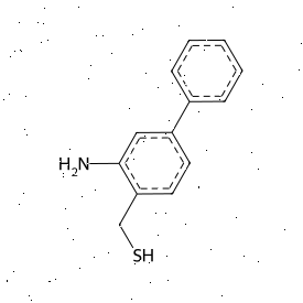 Nc1cc(-c2ccccc2)ccc1CS